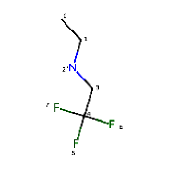 CC[N]CC(F)(F)F